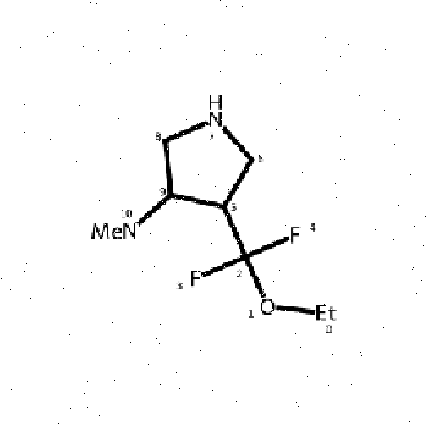 CCOC(F)(F)C1CNCC1NC